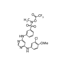 COc1ccc(Nc2cc(Nc3cccc(S(=O)(=O)N(C)OC(=O)C(F)(F)F)c3)ncn2)cc1Cl